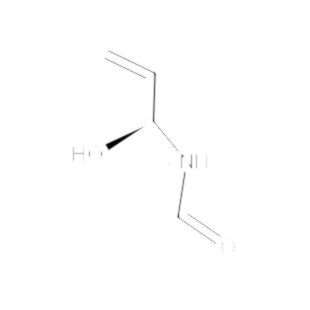 C=C[C@H](O)N[C]=O